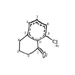 O=C1CCCc2cccc(Cl)c21